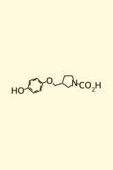 O=C(O)N1CCC(COc2ccc(O)cc2)C1